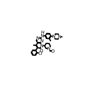 Cc1cc(Nc2ncc3c(C)c(-c4ccccc4Cl)c(=O)n(C4CCCN(C=O)C4)c3n2)ccc1N1CCN(C)CC1